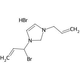 Br.C=CCN1C=CN(C(Br)C=C)C1